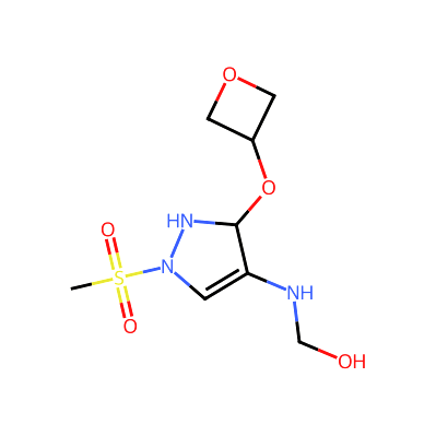 CS(=O)(=O)N1C=C(NCO)C(OC2COC2)N1